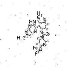 Cc1cc2ncc(N[C@@H](C)c3cc(NC(=O)c4ccc(OC(F)F)nc4)ccc3F)nc2s1